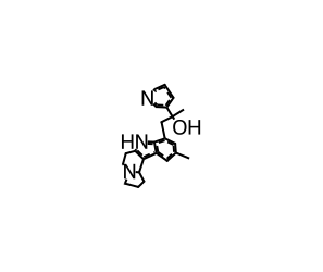 Cc1cc(CC(C)(O)c2cccnc2)c2[nH]c3c(c2c1)C1CCCN1CC3